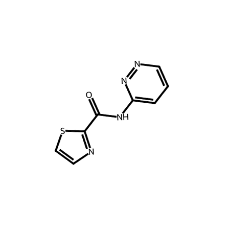 O=C(Nc1cccnn1)c1nccs1